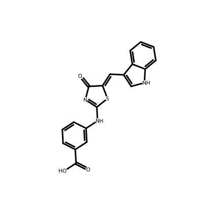 O=C1N=C(Nc2cccc(C(=O)O)c2)S/C1=C\c1c[nH]c2ccccc12